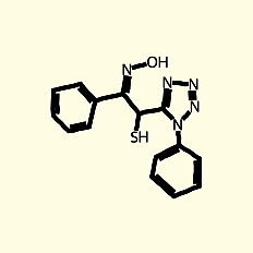 ON=C(c1ccccc1)C(S)c1nnnn1-c1ccccc1